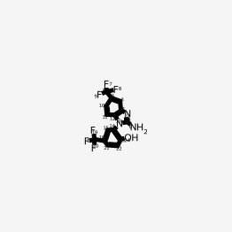 Nc1nc2cc(C(F)(F)F)ccc2n1-c1cc(C(F)(F)F)ccc1O